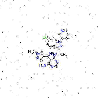 CC(c1nn(-c2cccnc2)c2cc(Cl)ccc12)n1nc(-c2cnn(C)c2)c2c(N)ncnc21